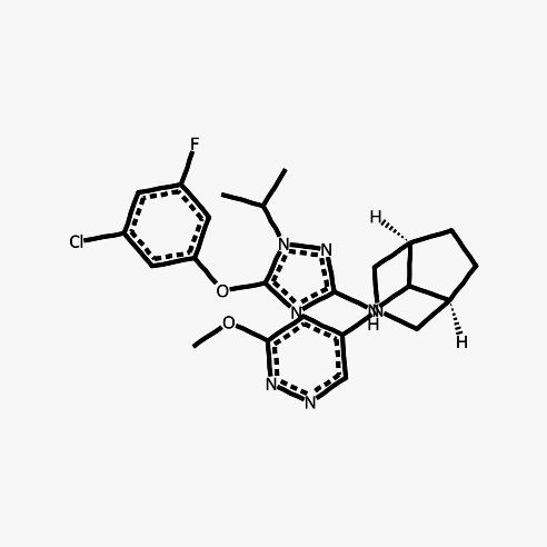 COc1cc(N2C[C@H]3CC[C@@H](C2)C3Nc2nc(Oc3cc(F)cc(Cl)c3)n(C(C)C)n2)cnn1